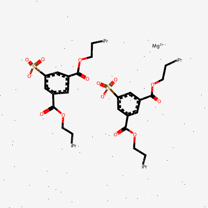 CC(C)CCOC(=O)c1cc(C(=O)OCCC(C)C)cc(S(=O)(=O)[O-])c1.CC(C)CCOC(=O)c1cc(C(=O)OCCC(C)C)cc(S(=O)(=O)[O-])c1.[Mg+2]